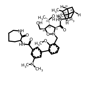 COc1c(CN2O[C@@H](CO)[C@H]([C@H](C)O)[C@H]2C(=O)N[C@H]2C[C@H]3C[C@@H]([C@@H]2C)C3(C)C)cccc1-c1cc(C(=O)NC2CCCCNC2=O)cc(N(C)C)c1